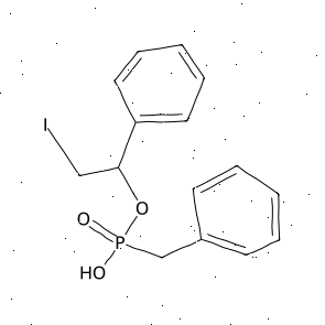 O=P(O)(Cc1ccccc1)OC(CI)c1ccccc1